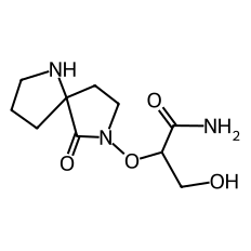 NC(=O)C(CO)ON1CCC2(CCCN2)C1=O